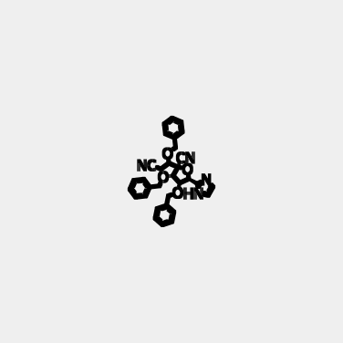 N#CCC(OCc1ccccc1)[C@@]1(C#N)O[C@@H](c2ncc[nH]2)[C@@H](OCc2ccccc2)[C@@H]1OCc1ccccc1